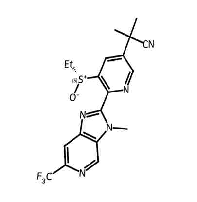 CC[S@@+]([O-])c1cc(C(C)(C)C#N)cnc1-c1nc2cc(C(F)(F)F)ncc2n1C